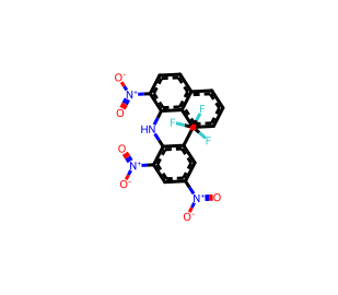 O=[N+]([O-])c1cc([N+](=O)[O-])c(Nc2c([N+](=O)[O-])ccc3ccccc23)c(C(F)(F)F)c1